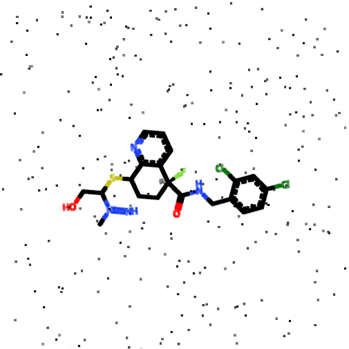 C[N+](=N)C(CO)SC1CC[C@@](F)(C(=O)NCc2ccc(Cl)cc2Cl)c2cccnc21